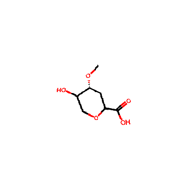 CO[C@@H]1CC(C(=O)O)OCC1O